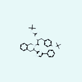 CC(C)(C)NC(=O)OC(Cc1ccc(OC(C)(C)C)cc1)C(=O)N1Cc2ccccc2CC1c1nc(-c2ccccc2)c[nH]1